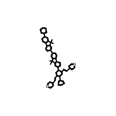 CC1(C)c2cc(-c3ccccc3)ccc2-c2ccc(-c3ccc4c(c3)C(C)(C)c3cc(-c5cc(/C=C/c6ccncc6)c(-c6ccccc6)cc5/C=C/c5ccncc5)ccc3-4)cc21